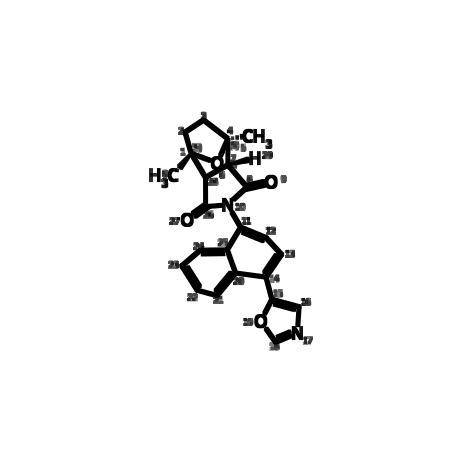 C[C@@]12CC[C@](C)(O1)[C@@H]1C(=O)N(c3ccc(-c4cnco4)c4ccccc34)C(=O)C12